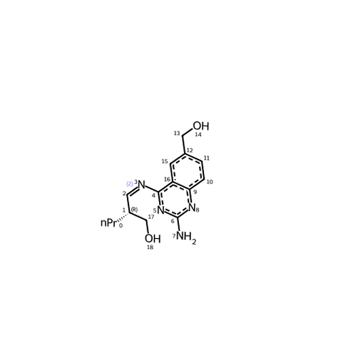 CCC[C@H](/C=N\c1nc(N)nc2ccc(CO)cc12)CO